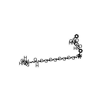 O=C(CCCC[C@@H]1SCC2NC(=O)N[C@@H]21)NCCOCCOCCOCCOCCOCCOCCOCCOCCn1cc(-c2cccc(NC(=O)N3CCC4(CC3)NC(=O)N(Cc3ccccc3)C4=O)c2)nn1